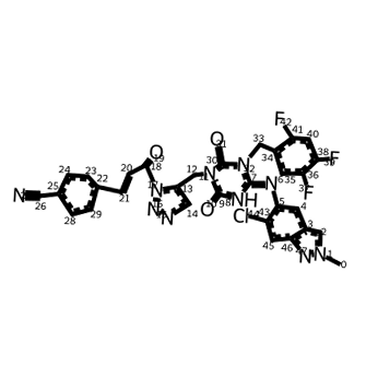 Cn1cc2cc(/N=c3\[nH]c(=O)n(Cc4cnnn4C(=O)/C=C/c4ccc(C#N)cc4)c(=O)n3Cc3cc(F)c(F)cc3F)c(Cl)cc2n1